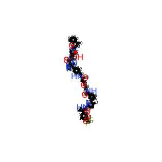 Cc1ccc(NC(=O)C2(c3ccc4c(c3)OC(F)(F)O4)CC2)nc1-c1cccc(C(=O)NCCOCCC(=O)NCc2ccc(-c3c4ncn(CC5(O)CCN(C(=O)C[C@@H](C)c6ccccc6)CC5)c(=O)c4nn3C)cc2)c1